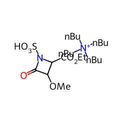 CCCC[N+](CCCC)(CCCC)CCCC.CCOC(=O)C1C(OC)C(=O)N1S(=O)(=O)O